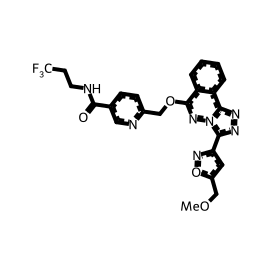 COCc1cc(-c2nnc3c4ccccc4c(OCc4ccc(C(=O)NCCC(F)(F)F)cn4)nn23)no1